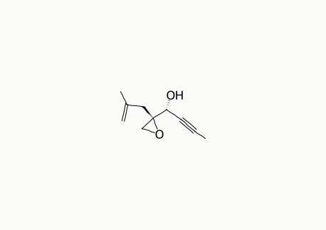 C=C(C)C[C@]1([C@H](O)C#CC)CO1